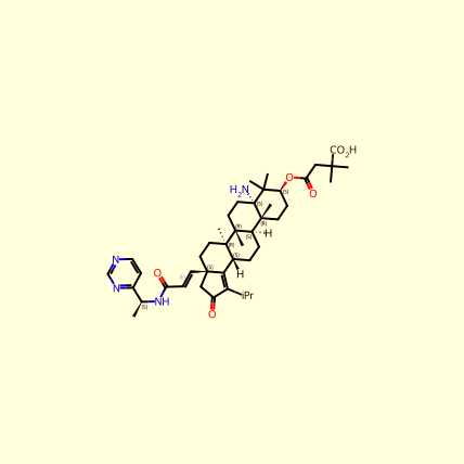 CC(C)C1=C2[C@H]3CC[C@@H]4[C@@]5(C)CC[C@H](OC(=O)CC(C)(C)C(=O)O)C(C)(C)[C@]5(N)CC[C@@]4(C)[C@]3(C)CC[C@@]2(/C=C/C(=O)N[C@@H](C)c2ccncn2)CC1=O